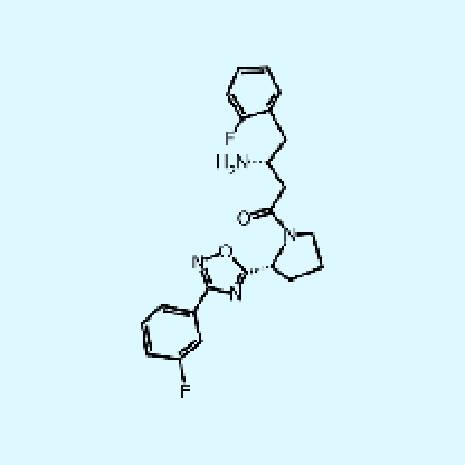 N[C@@H](CC(=O)N1CCC[C@@H]1c1nc(-c2cccc(F)c2)no1)Cc1ccccc1F